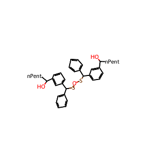 CCCCCC(O)c1cccc(C(SOSC(c2ccccc2)c2cccc(C(O)CCCCC)c2)c2ccccc2)c1